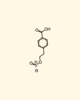 O=C(O)c1ccc(CCO[SH](=O)=O)cc1